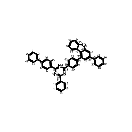 c1ccc(-c2ccc(-c3nc(-c4ccccc4)nc(-c4ccc(-c5cc(-c6ccccc6)cc6oc7ccccc7c56)cc4)n3)cc2)cc1